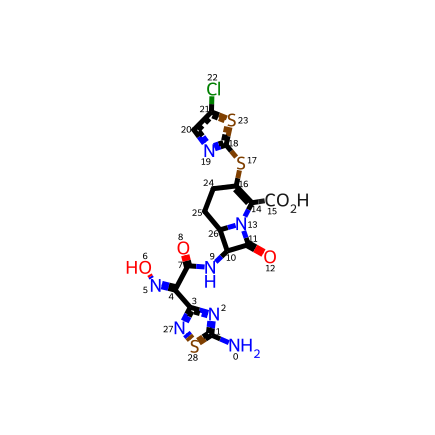 Nc1nc(/C(=N/O)C(=O)NC2C(=O)N3C(C(=O)O)=C(Sc4ncc(Cl)s4)CCC23)ns1